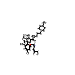 CC(/C=C\C=C(\Cl)CF)[C@H]1[C@H](C(=O)NCCCN2CCN(C(C)C)CC2)N[C@H](CC(C)(C)C)[C@]12C(=O)Nc1cc(Cl)ccc12